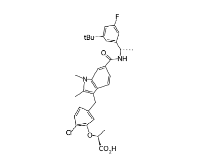 Cc1c(Cc2ccc(Cl)c(O[C@@H](C)C(=O)O)c2)c2ccc(C(=O)N[C@@H](C)c3cc(F)cc(C(C)(C)C)c3)cc2n1C